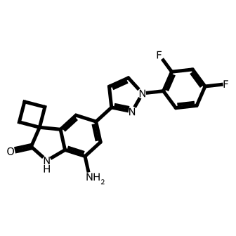 Nc1cc(-c2ccn(-c3ccc(F)cc3F)n2)cc2c1NC(=O)C21CCC1